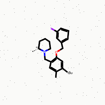 Cc1cc(CN2CCCC[C@H]2C)c(OCc2cccc(I)c2)cc1C(C)(C)C